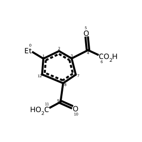 CCc1cc(C(=O)C(=O)O)cc(C(=O)C(=O)O)c1